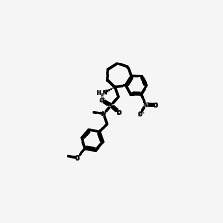 COc1ccc(CN(C)S(=O)(=O)C[C@@]2(N)CCCCc3ccc([N+](=O)[O-])cc32)cc1